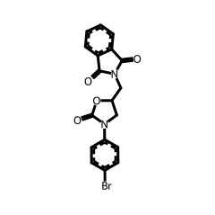 O=C1c2ccccc2C(=O)N1CC1CN(c2ccc(Br)cc2)C(=O)O1